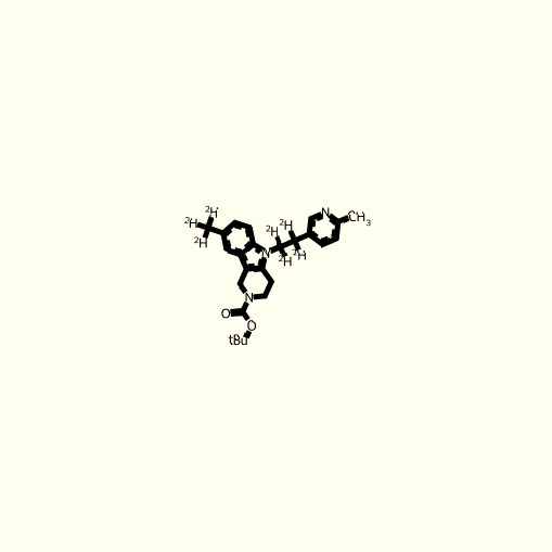 [2H]C([2H])([2H])c1ccc2c(c1)c1c(n2C([2H])([2H])C([2H])([2H])c2ccc(C)nc2)CCN(C(=O)OC(C)(C)C)C1